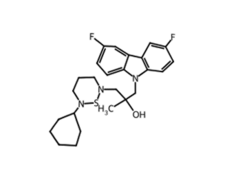 CC(O)(CN1CCCN(C2CCCCC2)S1)Cn1c2ccc(F)cc2c2cc(F)ccc21